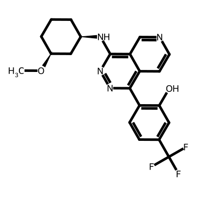 CO[C@H]1CCC[C@@H](Nc2nnc(-c3ccc(C(F)(F)F)cc3O)c3ccncc23)C1